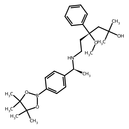 CO[C@@](CCN[C@@H](C)c1ccc(B2OC(C)(C)C(C)(C)O2)cc1)(CC(C)(C)O)c1ccccc1